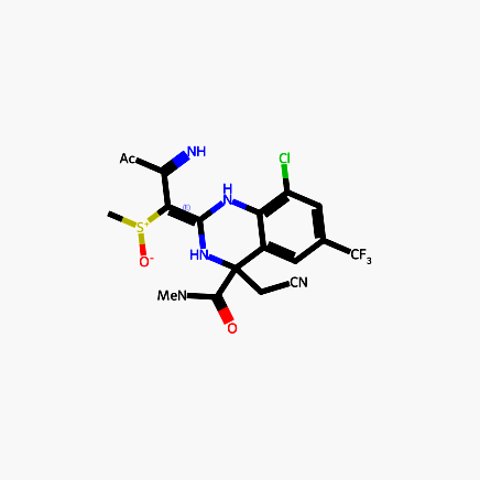 CNC(=O)C1(CC#N)N/C(=C(/C(=N)C(C)=O)[S+](C)[O-])Nc2c(Cl)cc(C(F)(F)F)cc21